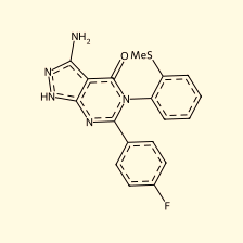 CSc1ccccc1-n1c(-c2ccc(F)cc2)nc2[nH]nc(N)c2c1=O